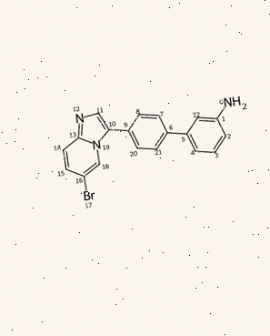 Nc1cccc(-c2ccc(-c3cnc4ccc(Br)cn34)cc2)c1